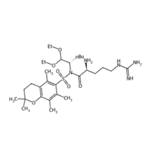 CCCC[C@@H](C(OCC)OCC)N(C(=O)[C@@H](N)CCCNC(=N)N)S(=O)(=O)c1c(C)c(C)c2c(c1C)CCC(C)(C)O2